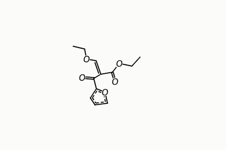 CCO/C=C(/C(=O)OCC)C(=O)c1ccco1